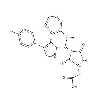 C[C@H](c1ccccc1)[C@@H](c1ncc(-c2ccc(I)cc2)[nH]1)N1C(=O)N[C@H](CC(=O)O)C1=O